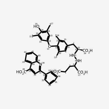 O=C(O)CCC(NN[C@@H](Cc1cc(I)c(Oc2cc(I)c(O)c(I)c2)c(I)c1)C(=O)O)C(=O)O.O=C(O)c1cc(-c2ccccc2)nc2ccccc12